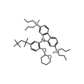 CCC[Si](C)(CCC)c1ccc2c3ccc([Si](C)(CCC)CCC)cc3n(-c3cc(C(C)(C)CC(C)(C)C)ccc3OC3CCCCO3)c2c1